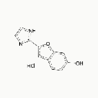 Cl.Oc1ccc2cc(-c3ncc[nH]3)oc2c1